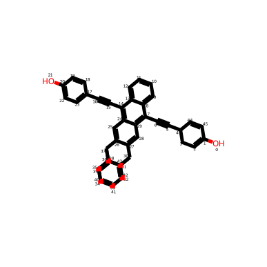 OC1=CCC(C#Cc2c3ccccc3c(C#Cc3ccc(O)cc3)c3cc4c(cc23)C2c3ccccc3C4c3ccccc32)C=C1